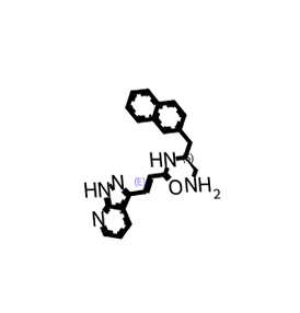 NC[C@H](Cc1ccc2ccccc2c1)NC(=O)/C=C/c1n[nH]c2ncccc12